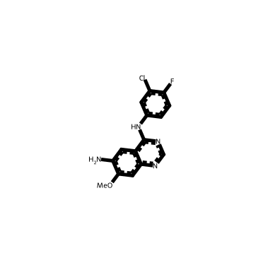 COc1cc2ncnc(Nc3ccc(F)c(Cl)c3)c2cc1N